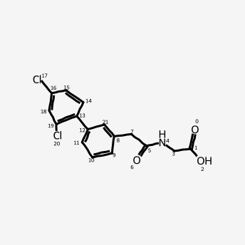 O=C(O)CNC(=O)Cc1cccc(-c2ccc(Cl)cc2Cl)c1